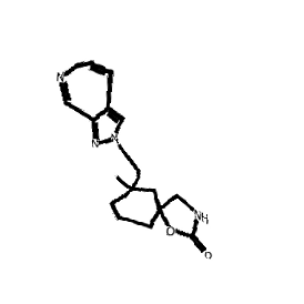 CC1(Cn2cc3ccncc3n2)CCCC2(CNC(=O)O2)C1